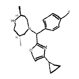 C[C@@H]1CN[C@@H](C)CN1C(c1ccc(F)cc1)c1nc(C2CC2)co1